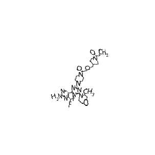 C=CC(=O)N1CCC(COCC(=O)N2CCN(c3nc(-c4cnc(N)nc4C(F)F)nc(N4CCOC[C@@H]4C)n3)CC2)CC1